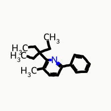 CCC(CC)(CC)c1nc(-c2ccccc2)ccc1C